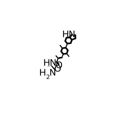 C/C(=C\c1cc(C)c(-c2ccc3[nH]ccc3c2)cc1C)C(=O)N[C@@H](C)C(N)=O